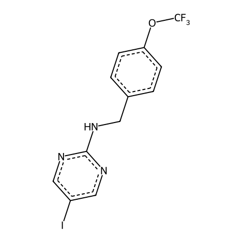 FC(F)(F)Oc1ccc(CNc2ncc(I)cn2)cc1